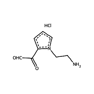 Cl.NCCn1cccc1C(=O)C=O